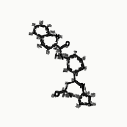 O=C1CC(c2cccc(NC(=O)c3ccc4ccccc4n3)c2)=Nc2cscc2N1